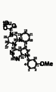 COc1cccc(-n2cc(-c3ccccn3)c3c(N4CCN(C(=O)OC(C)(C)C)CC4C)ncnc32)c1